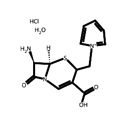 Cl.N[C@@H]1C(=O)N2C=C(C(=O)O)C(C[n+]3ccccc3)S[C@H]12.O